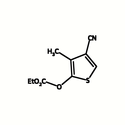 CCOC(=O)Oc1scc(C#N)c1C